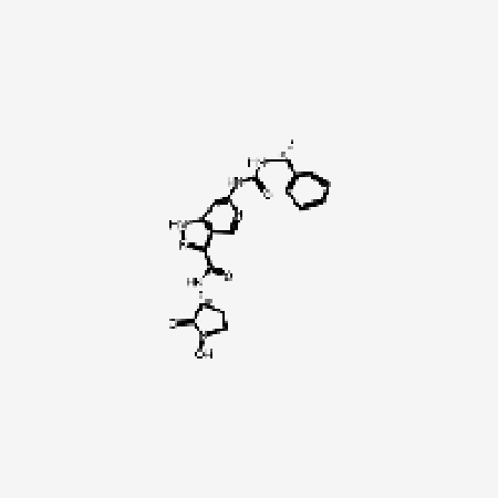 C[C@@H](NC(=O)Nc1cc2[nH]nc(C(=O)N[C@@H]3CCN(O)C3=O)c2cn1)c1ccccc1